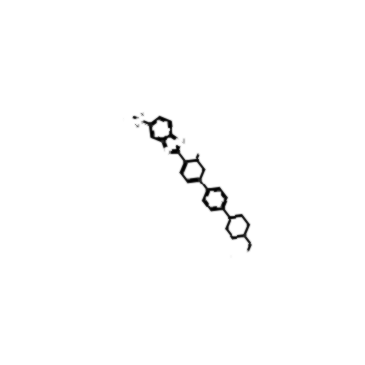 CS(=O)(=O)c1ccc2[nH]c(C3=CC=C(c4ccc(C5CCC(CC(=O)O)CC5)cc4)CC3F)nc2c1